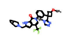 COC1CC(c2cccc(-n3cc(C(F)(F)F)c4cc(CN5CC6CC6C5)[nH]c4c3=O)c2)(c2nncn2C)C1